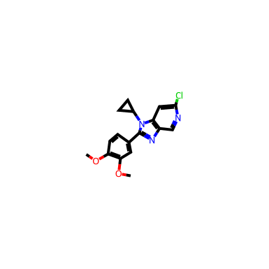 COc1ccc(-c2nc3cnc(Cl)cc3n2C2CC2)cc1OC